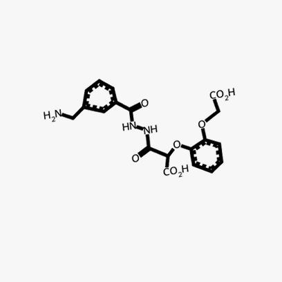 NCc1cccc(C(=O)NNC(=O)C(Oc2ccccc2OCC(=O)O)C(=O)O)c1